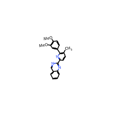 COc1ccc(-c2nc(-c3ncc4ccccc4n3)ccc2C)cc1OC